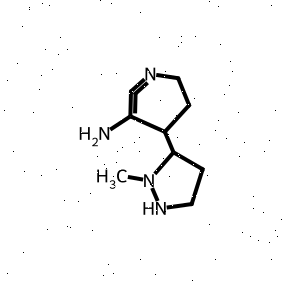 CN1NCCC1C1CCN=C=C1N